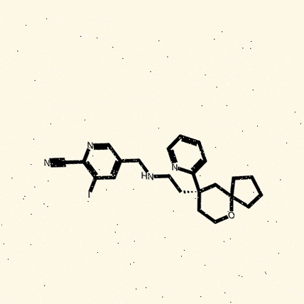 N#Cc1ncc(CNCC[C@@]2(c3ccccn3)CCOC3(CCCC3)C2)cc1I